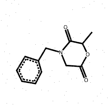 CC1OC(=O)CN(Cc2ccccc2)C1=O